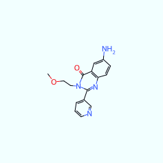 COCCn1c(-c2cccnc2)nc2ccc(N)cc2c1=O